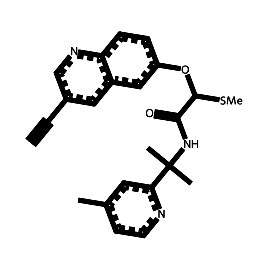 C#Cc1cnc2ccc(OC(SC)C(=O)NC(C)(C)c3cc(C)ccn3)cc2c1